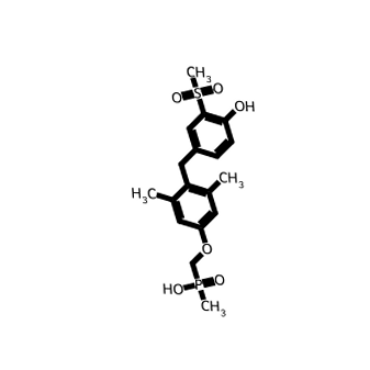 Cc1cc(OCP(C)(=O)O)cc(C)c1Cc1ccc(O)c(S(C)(=O)=O)c1